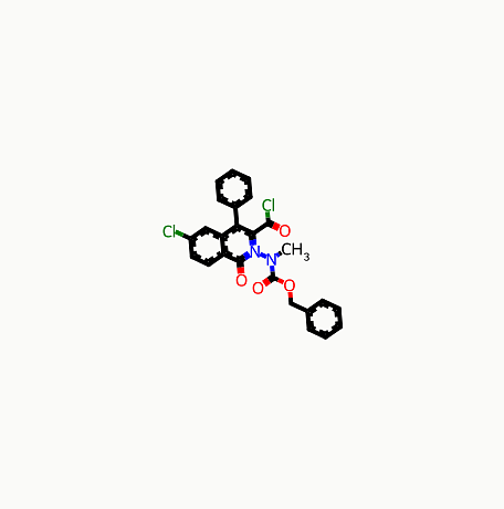 CN(C(=O)OCc1ccccc1)n1c(C(=O)Cl)c(-c2ccccc2)c2cc(Cl)ccc2c1=O